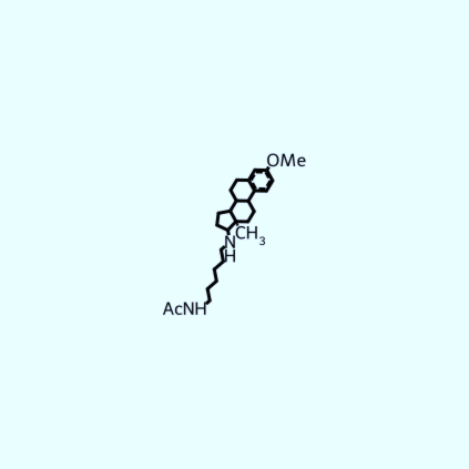 COc1ccc2c(c1)CCC1C2CC[C@]2(C)C(NCCCCCCNC(C)=O)CCC12